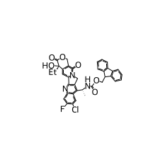 CC[C@@]1(O)C(=O)OCc2c1cc1n(c2=O)Cc2c-1nc1cc(F)c(Cl)cc1c2[C@@H](C)NC(=O)OCC1c2ccccc2-c2ccccc21